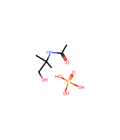 CC(=O)NC(C)(C)CO.O=P(O)(O)O